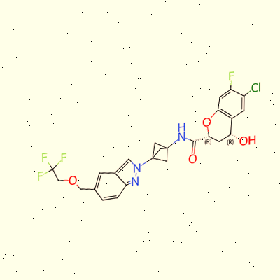 O=C(NC12CC(n3cc4cc(COCC(F)(F)F)ccc4n3)(C1)C2)[C@H]1C[C@@H](O)c2cc(Cl)c(F)cc2O1